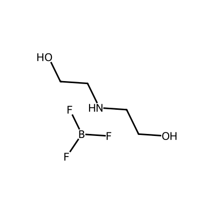 FB(F)F.OCCNCCO